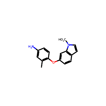 Cc1cc(N)ccc1Oc1ccc2ccn(C(=O)O)c2c1